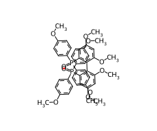 COc1ccc(P(=O)(c2ccc(OC)cc2)c2cc(OC)cc(OC)c2-c2c(OC)cc(OC)cc2P(=O)(c2ccc(OC)cc2)c2ccc(OC)cc2)cc1